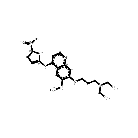 CCN(CC)CCCOc1cc2nccc(SC3=CCC([N+](=O)[O-])S3)c2cc1OC